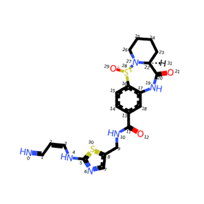 N=C/C=C\Nc1ncc(CNC(=O)c2ccc3c(c2)NC(=O)[C@@H]2CCCCN2[S+]3[O-])s1